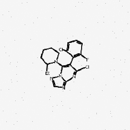 CCC1CCCCN1c1c(-c2c(F)cccc2Cl)c(Cl)nc2ncnn12